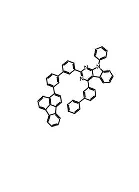 c1ccc(-c2cccc(-c3nc(-c4cccc(-c5cccc(-c6ccc7c8c(cccc68)-c6ccccc6-7)c5)c4)nc4c3c3ccccc3n4-c3ccccc3)c2)cc1